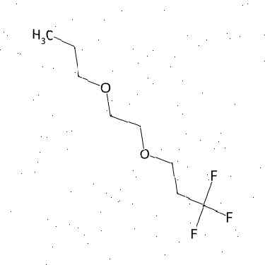 CCCOCCOCCC(F)(F)F